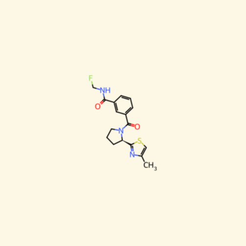 Cc1csc([C@H]2CCCN2C(=O)c2cccc(C(=O)NCF)c2)n1